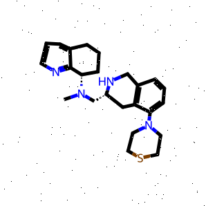 CN(C[C@H]1Cc2c(cccc2N2CCSCC2)CN1)[C@H]1CCCc2cccnc21